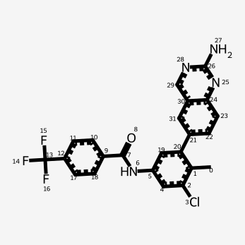 Cc1c(Cl)cc(NC(=O)c2ccc(C(F)(F)F)cc2)cc1-c1ccc2nc(N)ncc2c1